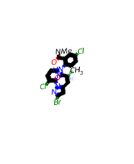 CNC(=O)c1cc(Cl)cc(C)c1NC(=O)/C(F)=C\c1cc(Br)nn1-c1ncccc1Cl